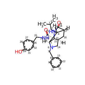 CC(C)C[C@H]1[C@@H]2N(Cc3ccccc3)C[C@@H]3C[C@H]1C(=O)N[C@@]32C(=O)NCc1ccc(O)cc1